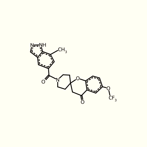 Cc1cc(C(=O)N2CCC3(CC2)CC(=O)c2cc(OC(F)(F)F)ccc2O3)cc2cn[nH]c12